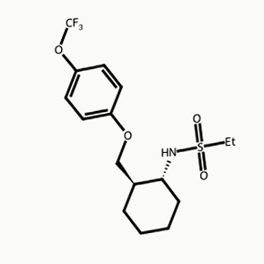 CCS(=O)(=O)N[C@@H]1CCCC[C@H]1COc1ccc(OC(F)(F)F)cc1